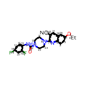 CCOc1ccc2nc(N3CCN(C(=O)Nc4ccc(F)cc4F)CC3)c(C#N)cc2c1